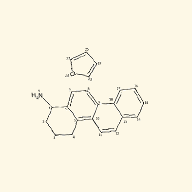 NC1CCCc2c1ccc1c2ccc2ccccc21.c1ccoc1